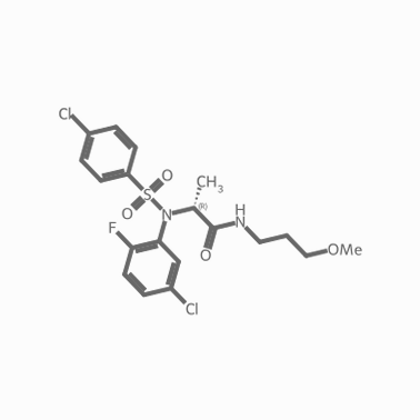 COCCCNC(=O)[C@@H](C)N(c1cc(Cl)ccc1F)S(=O)(=O)c1ccc(Cl)cc1